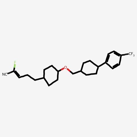 N#CC(F)=CCCC1CCC(OCC2CCC(c3ccc(C(F)(F)F)cc3)CC2)CC1